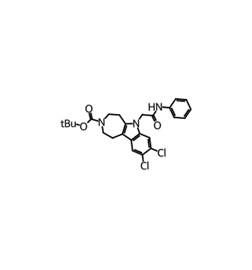 CC(C)(C)OC(=O)N1CCc2c(n(CC(=O)Nc3ccccc3)c3cc(Cl)c(Cl)cc23)CC1